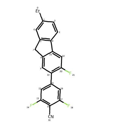 CCc1ccc2c(c1)Cc1cc(-c3cc(F)c(C#N)c(F)c3)c(F)cc1-2